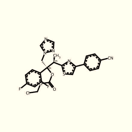 C[C@@H](c1nc(-c2ccc(C#N)cc2)cs1)[C@@](Cn1cncn1)(OC(=O)OCCl)c1ccc(F)cc1F